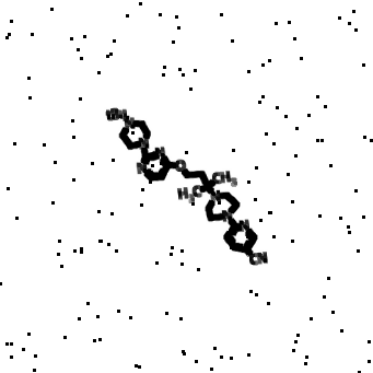 CC(C)(C)N1CCN(c2nccc(OCCC(C)(C)N3CCN(c4ccc(C#N)cn4)CC3)n2)CC1